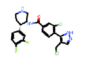 O=C(N[C@@H]1CNCC[C@H]1c1ccc(F)c(F)c1)c1ccc(-c2[nH]ncc2CCl)c(Cl)c1